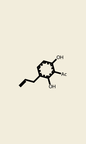 C=CCc1ccc(O)c(C(C)=O)c1O